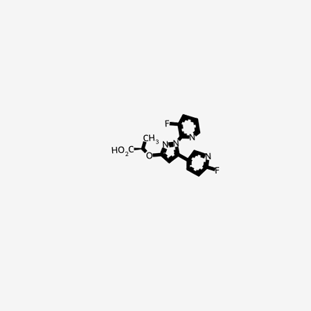 C[C@@H](Oc1cc(-c2ccc(F)nc2)n(-c2ncccc2F)n1)C(=O)O